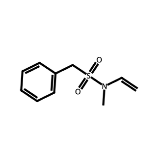 C=CN(C)S(=O)(=O)Cc1ccccc1